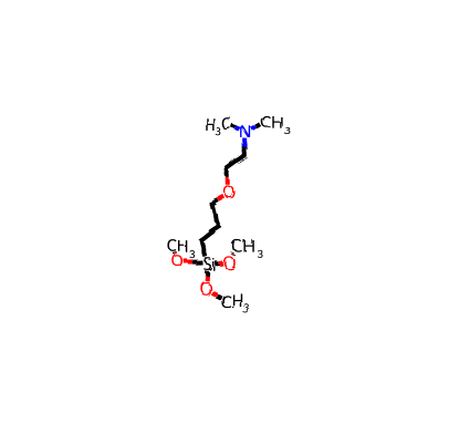 CO[Si](CCCOCCN(C)C)(OC)OC